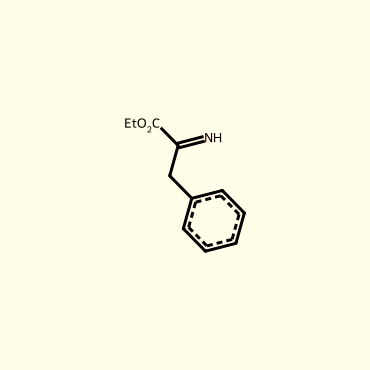 CCOC(=O)C(=N)Cc1ccccc1